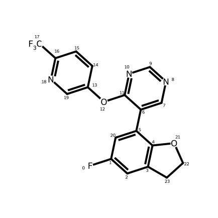 Fc1cc2c(c(-c3cncnc3Oc3ccc(C(F)(F)F)nc3)c1)OCC2